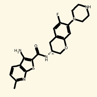 Cc1ccc2c(N)c(C(=O)N[C@H]3COc4cc(N5CCNCC5)c(F)cc4C3)sc2n1